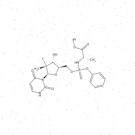 CC(C)OC(=O)[C@H](C)NP(=O)(OC[C@H]1O[C@@H](n2c(=O)cc[nH]c2=O)[C@](C)(F)[C@@H]1O)Oc1ccccc1